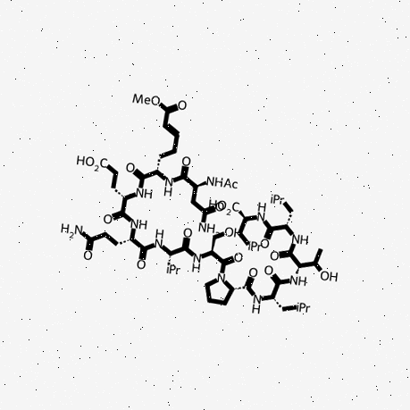 COC(=O)/C=C/CC[C@H](NC(=O)[C@H](CC(N)=O)NC(C)=O)C(=O)N[C@@H](CCC(=O)O)C(=O)N[C@@H](CCC(N)=O)C(=O)N[C@H](C(=O)N[C@@H](CO)C(=O)N1CCC[C@H]1C(=O)N[C@@H](CC(C)C)C(=O)N[C@H](C(=O)N[C@@H](CC(C)C)C(=O)N[C@@H](CC(C)C)C(=O)O)C(C)O)C(C)C